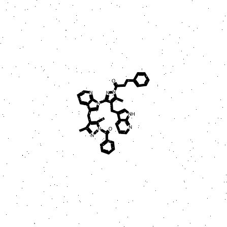 Cc1nn(C(=O)c2ccccc2)c(C)c1Cc1cn(-c2nn(C(=O)CCc3ccccc3)c(C)c2Cc2c[nH]c3ncccc23)c2ncccc12